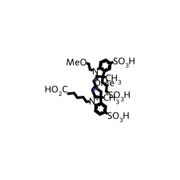 COCCN1/C(=C/C=C/C2=[N+](CCCCCC(=O)O)c3ccc(S(=O)(=O)O)cc3C2(C)CCOC)C(C)(CCCS(=O)(=O)O)c2cc(S(=O)(=O)O)ccc21